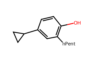 CCCCCc1cc(C2CC2)ccc1O